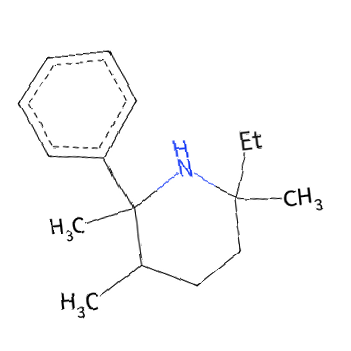 CCC1(C)CCC(C)C(C)(c2ccccc2)N1